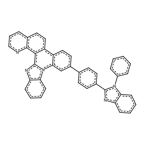 c1ccc(-n2c(-c3ccc(-c4ccc5c6ccc7cccnc7c6c6nc7ccccc7n6c5c4)cc3)nc3ccccc32)cc1